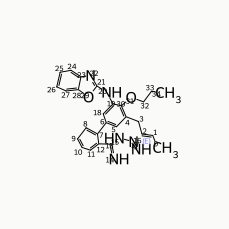 C/C=C/Cc1cc(-c2ccccc2C(=N)NN=N)cc(Nc2nc3ccccc3o2)c1OCCC